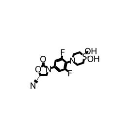 N#C[C@H]1CN(c2cc(F)c(N3CCS(O)(O)CC3)c(F)c2)C(=O)O1